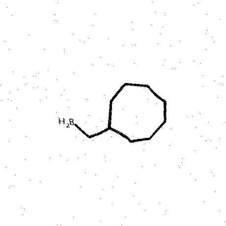 BCC1CCCCCCC1